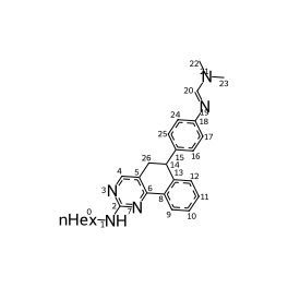 CCCCCCNc1ncc2c(n1)-c1ccccc1C(c1ccc(/N=C/N(C)C)cc1)C2